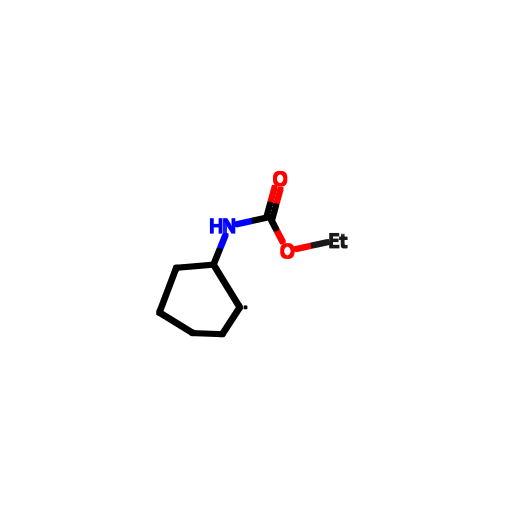 CCOC(=O)NC1[CH]CCCC1